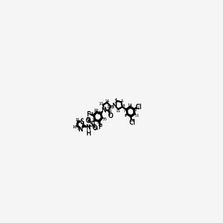 O=C1[C@@H](N2CCC(c3cc(Cl)cc(Cl)c3)C2)CCN1c1cc(F)c(S(=O)(=O)Nc2nccs2)c(F)c1